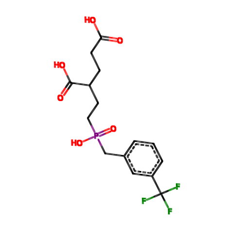 O=C(O)CCC(CCP(=O)(O)Cc1cccc(C(F)(F)F)c1)C(=O)O